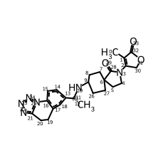 CC1=C(N2CCC3(CCC(N[C@H](C)c4ccc5c(c4)CCc4nnnn4-5)CC3)C2=O)COC1=O